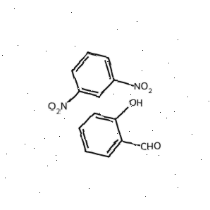 O=Cc1ccccc1O.O=[N+]([O-])c1cccc([N+](=O)[O-])c1